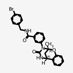 C[C@@]12C[C@@H](NC(=O)N1c1cccc(C(=O)NCc3ccc(Br)cc3)c1)c1ccccc1O2